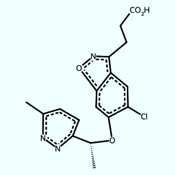 Cc1ccc([C@@H](C)Oc2cc3onc(CCC(=O)O)c3cc2Cl)nn1